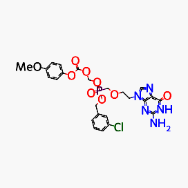 COc1ccc(OC(=O)OCOP(=O)(COCCn2cnc3c(=O)[nH]c(N)nc32)OCc2cccc(Cl)c2)cc1